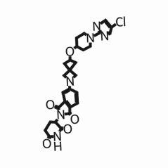 O=C1CCC(N2C(=O)c3ccc(N4CC5(CC(OC6CCN(c7ncc(Cl)cn7)CC6)C5)C4)cc3C2=O)C(=O)N1